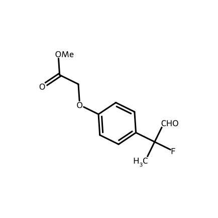 COC(=O)COc1ccc(C(C)(F)C=O)cc1